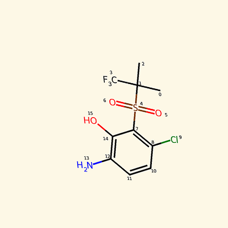 CC(C)(C(F)(F)F)S(=O)(=O)c1c(Cl)ccc(N)c1O